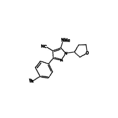 CNc1c(C#N)c(-c2ccc(Br)cc2)nn1C1CCOC1